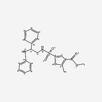 COC(=O)c1cc(S(=O)(=O)NCC(Nc2ccccc2)c2ccccc2)oc1C